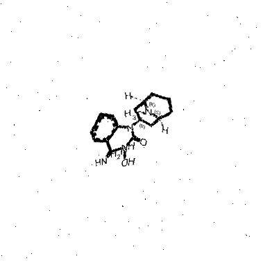 CN1[C@@H]2CCC[C@H]1C[C@@H](N(C(N)=O)c1ccccc1C(=N)NO)C2